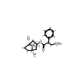 CC(=O)OCC(C(=O)O[C@H]1C[C@H]2CC[C@@H](C1)N2C)c1ccccc1